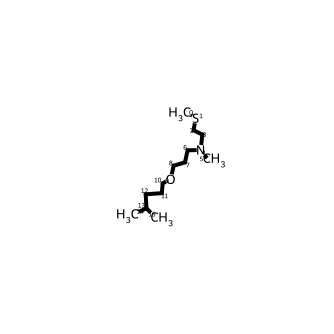 CSCCN(C)CCCOCCCC(C)C